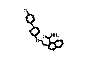 NC(=O)c1c(CCOc2ccc(-c3ccc(Cl)cc3)cc2)ccc2ccccc12